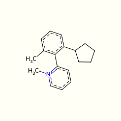 Cc1cccc(C2CCCC2)c1-c1cccc[n+]1C